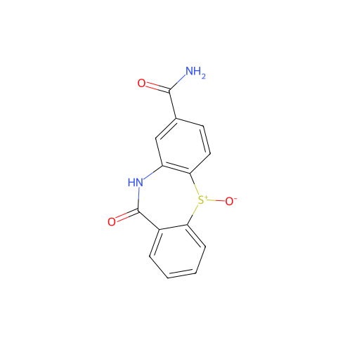 NC(=O)c1ccc2c(c1)NC(=O)c1ccccc1[S+]2[O-]